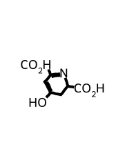 O=C(O)C1=NC(C(=O)O)CC(O)=C1